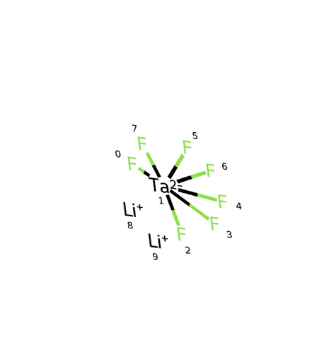 [F][Ta-2]([F])([F])([F])([F])([F])[F].[Li+].[Li+]